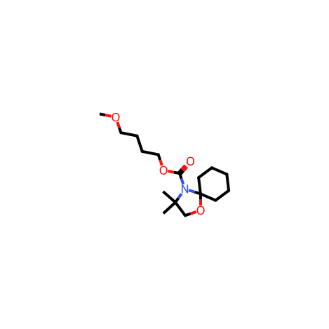 COCCCCOC(=O)N1C(C)(C)COC12CCCCC2